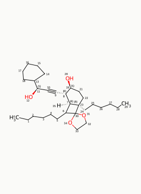 CCCCCCC1[C@H]2[C@H](C#C[C@@H](O)C3CCCCC3)[C@@H](O)CC[C@@]2(CCCCCC)C12OCCO2